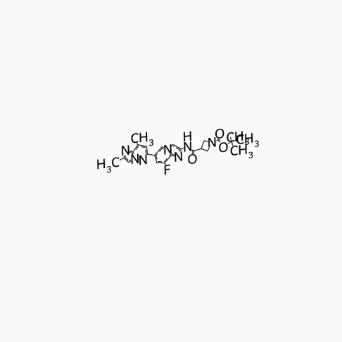 Cc1cn2nc(-c3cc(F)c4nc(NC(=O)C5CN(C(=O)OC(C)(C)C)C5)cn4c3)cc(C)c2n1